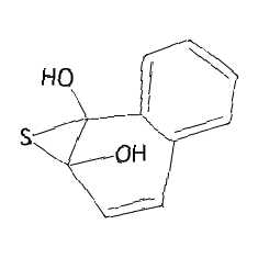 OC12C=Cc3ccccc3C1(O)S2